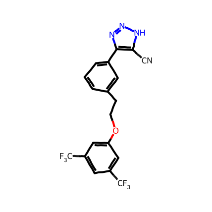 N#Cc1[nH]nnc1-c1cccc(CCOc2cc(C(F)(F)F)cc(C(F)(F)F)c2)c1